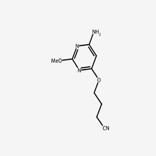 COc1nc(N)cc(OCCCC#N)n1